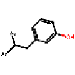 CC(=O)C(Cc1cccc(O)c1)C(C)=O